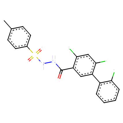 Cc1ccc(S(=O)(=O)NNC(=O)c2cc(-c3ccccc3Cl)c(Cl)cc2Cl)cc1